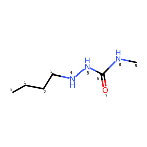 CCCCNNC(=O)NC